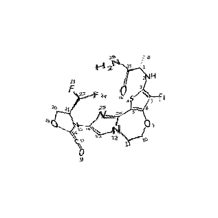 C[C@H](Nc1sc2c(c1F)OCCn1cc(N3C(=C=O)OC[C@H]3C(F)F)nc1-2)C(N)=O